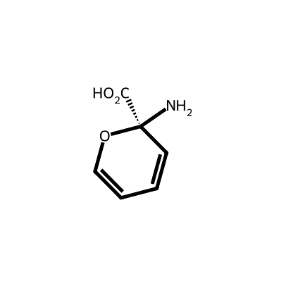 N[C@@]1(C(=O)O)C=CC=CO1